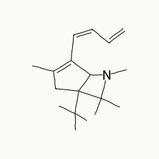 C=C/C=C\C1=C(C)CC2(C(C)(C)C)C1N(C)C2(C)C